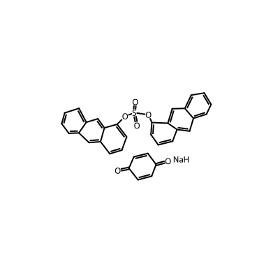 O=C1C=CC(=O)C=C1.O=S(=O)(Oc1cccc2cc3ccccc3cc12)Oc1cccc2cc3ccccc3cc12.[NaH]